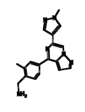 Cc1cc(-c2nc(-c3cnn(C)c3)cn3nccc23)ccc1CN